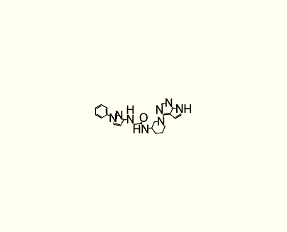 O=C(CNc1ccn(-c2ccccc2)n1)NC1CCCN(c2ncnc3[nH]ccc23)C1